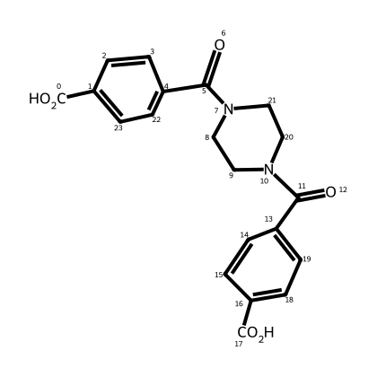 O=C(O)c1ccc(C(=O)N2CCN(C(=O)c3ccc(C(=O)O)cc3)CC2)cc1